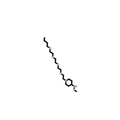 CCCCOCCOCCOCCOCCN1CCC(NSC)CC1